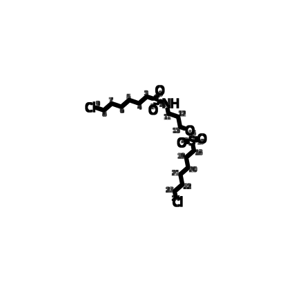 O=S(=O)(CCCCCCCl)NCCCOS(=O)(=O)CCCCCCCl